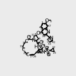 COc1ccc2c(OC3CC4C(=O)NC5(C(=O)NS(=O)(=O)C6CC6)CC5/C=C\CCCCCCC(=O)N4C3)cc(-c3nccs3)nc2c1